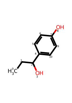 C[CH]C(O)c1ccc(O)cc1